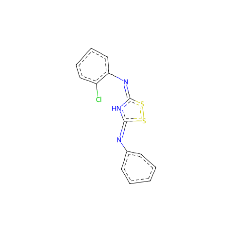 Clc1ccccc1/N=c1\[nH]/c(=N/c2ccccc2)ss1